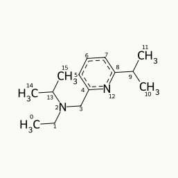 CCN(Cc1cccc(C(C)C)n1)C(C)C